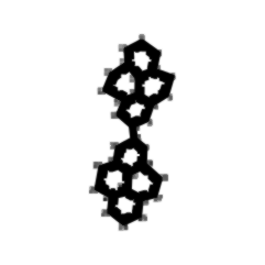 [c]1c(-c2cc3ccc4cccc5ccc(c2)c3c45)cc2ccc3cccc4ccc1c2c43